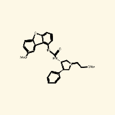 COCCN1C[C@@H](NC(=O)Nc2cccc3oc4ccc(OC)cc4c23)[C@H](c2ccccc2)C1